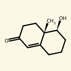 C[C@]12CCC(=O)C=C1CCC[C@@H]2O